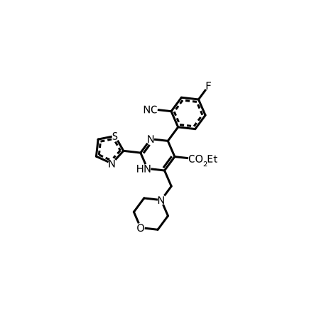 CCOC(=O)C1=C(CN2CCOCC2)NC(c2nccs2)=NC1c1ccc(F)cc1C#N